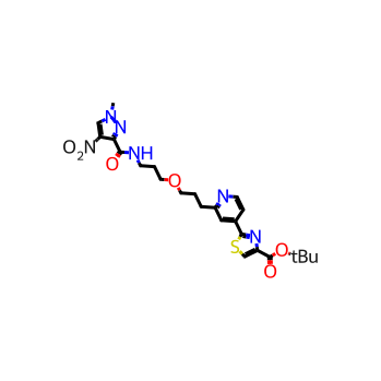 Cn1cc([N+](=O)[O-])c(C(=O)NCCCOCCCc2cc(-c3nc(C(=O)OC(C)(C)C)cs3)ccn2)n1